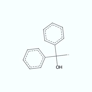 [CH2]C(O)(c1ccccc1)c1ccccc1